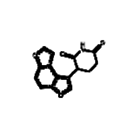 O=C1CCC(c2coc3ccc4occc4c23)C(=O)N1